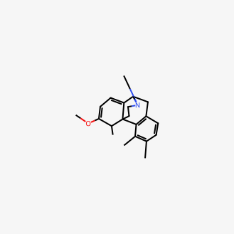 COC1=CC=C2C3Cc4ccc(C)c(C)c4C2(CCN3C)C1C